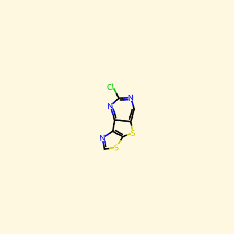 Clc1ncc2sc3scnc3c2n1